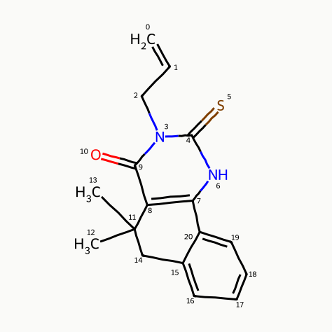 C=CCn1c(=S)[nH]c2c(c1=O)C(C)(C)Cc1ccccc1-2